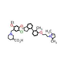 CCOc1cc(O[C@H]2CCc3c(-c4cccc(OCCCN5[C@H](C)CC[C@H]5C)c4C)cccc32)c(Cl)cc1CN1CCC[C@H](C(=O)O)C1